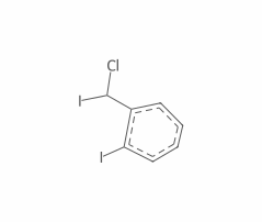 ClC(I)c1ccccc1I